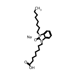 CCCCCCCCn1c(=O)n(CCCCCCCC(=O)O)c2ccccc21.[Na]